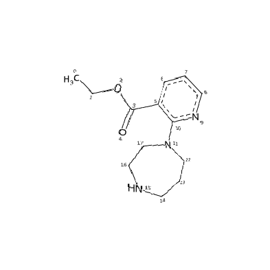 CCOC(=O)c1cccnc1N1CCCNCC1